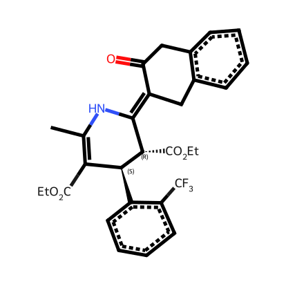 CCOC(=O)C1=C(C)NC(=C2Cc3ccccc3CC2=O)[C@H](C(=O)OCC)[C@H]1c1ccccc1C(F)(F)F